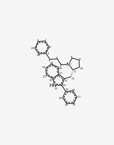 c1ccc(CCCN2CCC[C@@H]2Cc2c(-c3ccccc3)[nH]c3ccccc23)cc1